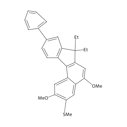 CCC1(CC)c2cc(-c3ccccc3)ccc2-c2c1cc(OC)c1cc(SC)c(OC)cc21